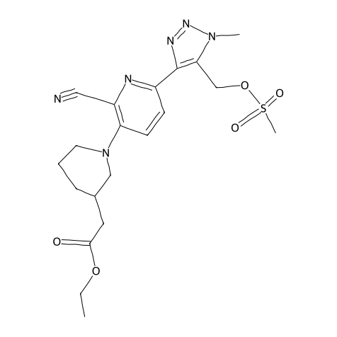 CCOC(=O)CC1CCCN(c2ccc(-c3nnn(C)c3COS(C)(=O)=O)nc2C#N)C1